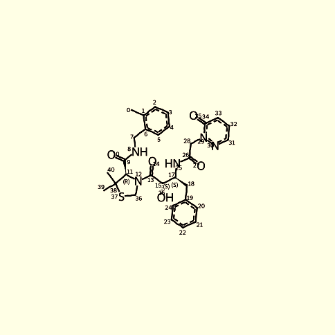 Cc1ccccc1CNC(=O)[C@H]1N(C(=O)[C@@H](O)[C@H](Cc2ccccc2)NC(=O)Cn2ncccc2=O)CSC1(C)C